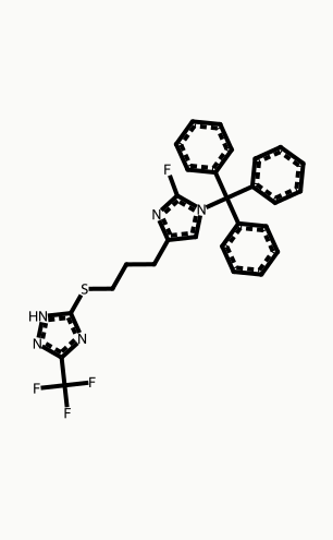 Fc1nc(CCCSc2nc(C(F)(F)F)n[nH]2)cn1C(c1ccccc1)(c1ccccc1)c1ccccc1